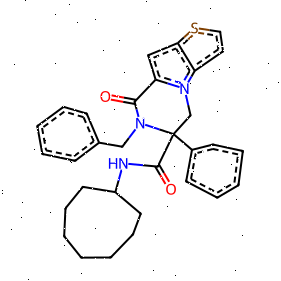 O=C1c2cc3sccc3n2CC(C(=O)NC2CCCCCCC2)(c2ccccc2)N1Cc1ccccc1